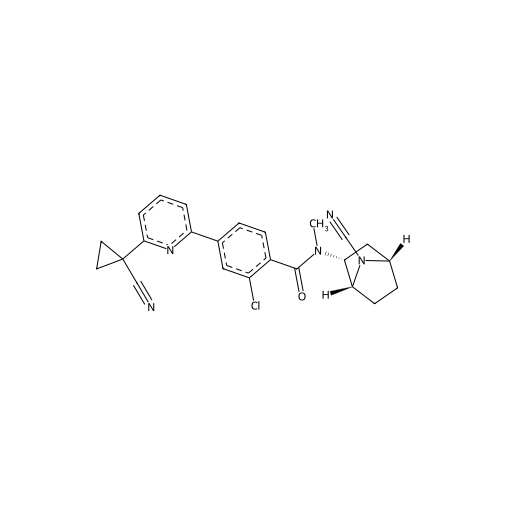 CN(C(=O)c1ccc(-c2cccc(C3(C#N)CC3)n2)cc1Cl)[C@@H]1C[C@@H]2CC[C@H]1N2C#N